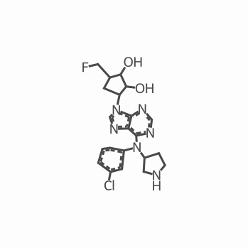 OC1C(CF)CC(n2cnc3c(N(c4cccc(Cl)c4)C4CCNC4)ncnc32)C1O